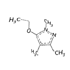 CCOc1c(C)c(C)nn1C